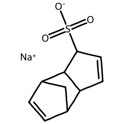 O=S(=O)([O-])C1C=CC2C3C=CC(C3)C21.[Na+]